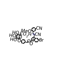 COc1ccc(C#N)cc1/C=C(\C#N)c1cn(C(=O)OCc2ccc(O[C@@H]3O[C@H](C(=O)O)[C@@H](O)[C@H](O)[C@H]3O)cc2)c2ccc(Br)cc12